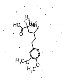 CCC(CCc1ccc(OC)c(OC)c1)CC(C)(N)C(=O)O